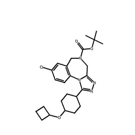 CC(C)(C)OC(=O)N1Cc2cc(Cl)ccc2-n2c(nnc2C2CCC(OC3CCC3)CC2)C1